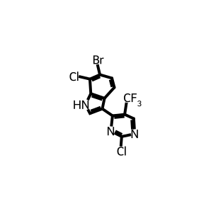 FC(F)(F)c1cnc(Cl)nc1-c1c[nH]c2c(Cl)c(Br)ccc12